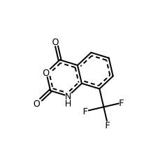 O=c1[nH]c2c(C(F)(F)F)cccc2c(=O)o1